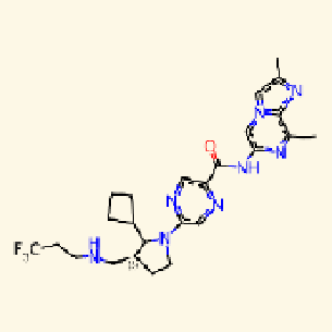 Cc1cn2cc(NC(=O)c3cnc(N4CC[C@@H](CNCCC(F)(F)F)C4C4CCC4)cn3)nc(C)c2n1